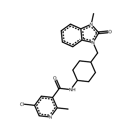 Cc1ncc(Cl)cc1C(=O)NC1CCC(Cn2c(=O)n(C)c3ccccc32)CC1